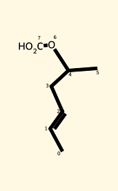 CC=CCC(C)OC(=O)O